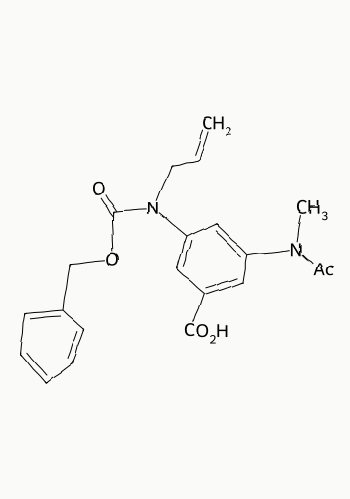 C=CCN(C(=O)OCc1ccccc1)c1cc(C(=O)O)cc(N(C)C(C)=O)c1